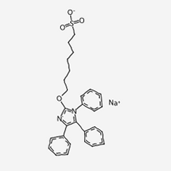 O=S(=O)([O-])CCCCCCCOc1nc(-c2ccccc2)c(-c2ccccc2)n1-c1ccccc1.[Na+]